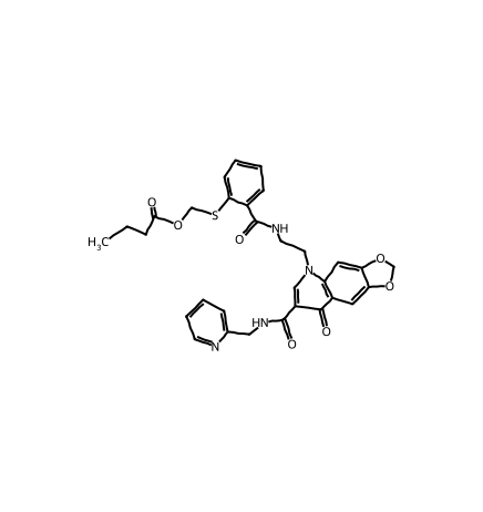 CCCC(=O)OCSc1ccccc1C(=O)NCCn1cc(C(=O)NCc2ccccn2)c(=O)c2cc3c(cc21)OCO3